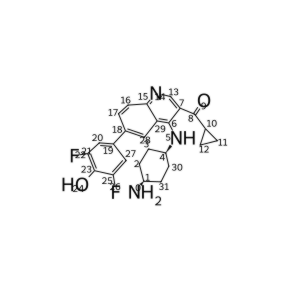 N[C@H]1CC[C@@H](Nc2c(C(=O)C3CC3)cnc3ccc(-c4cc(F)c(O)c(F)c4)cc23)CC1